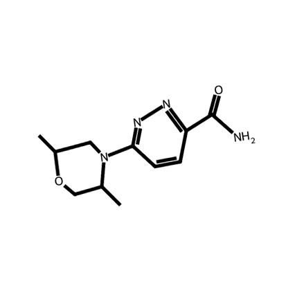 CC1CN(c2ccc(C(N)=O)nn2)C(C)CO1